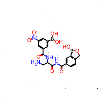 NCC(NC(=O)c1cc(B(O)O)cc([N+](=O)[O-])c1)C(=O)NC(=O)c1ccc2c(c1)B(O)OC2